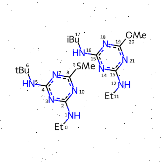 CCNc1nc(NC(C)(C)C)nc(SC)n1.CCNc1nc(NC(C)CC)nc(OC)n1